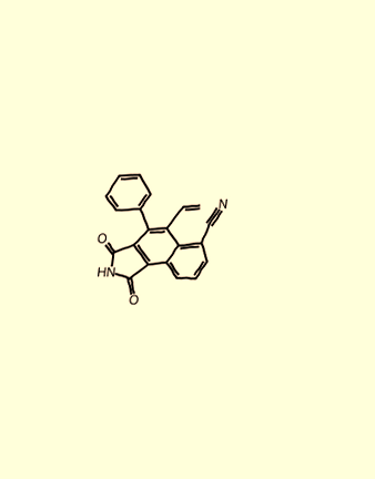 C=Cc1c(-c2ccccc2)c2c(c3cccc(C#N)c13)C(=O)NC2=O